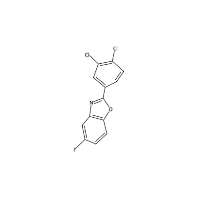 Clc1ccc(-c2nc3cc(I)ccc3o2)cc1Cl